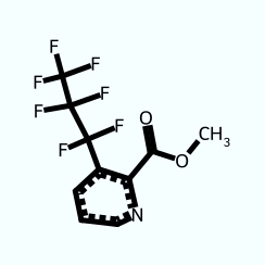 COC(=O)c1ncccc1C(F)(F)C(F)(F)C(F)(F)F